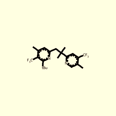 Cc1cnc(C(C)(C)Cc2cc(C)c(C(F)(F)F)c(C(C)(C)C)n2)cc1C(F)(F)F